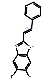 Fc1cc2nc(/C=C/c3ccccc3)[nH]c2cc1F